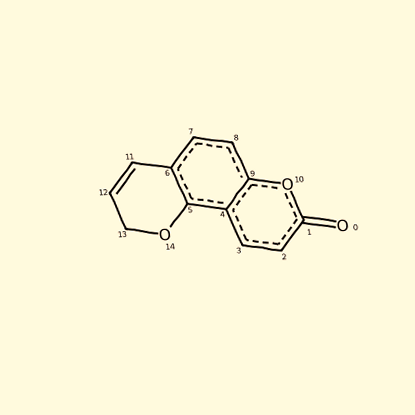 O=c1ccc2c3c(ccc2o1)C=CCO3